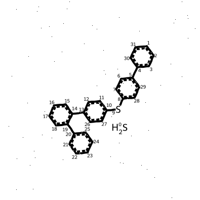 S.c1ccc(-c2ccc(Sc3ccc(-c4ccccc4-c4ccccc4)cc3)cc2)cc1